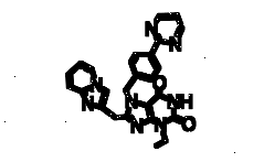 CCn1c(=O)[nH]c(=O)c2c1nc(Cc1cn3ccccc3n1)n2Cc1ccc(-c2ncccn2)cc1